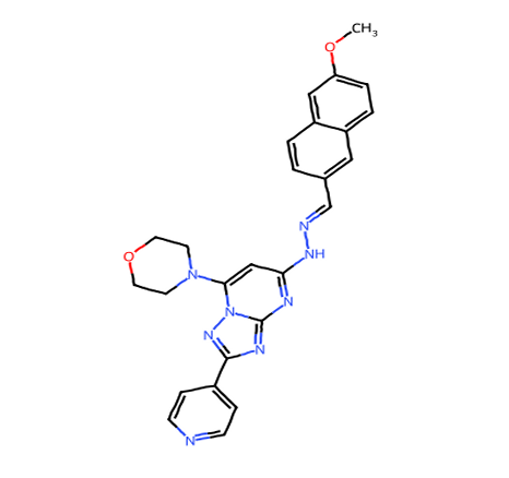 COc1ccc2cc(C=NNc3cc(N4CCOCC4)n4nc(-c5ccncc5)nc4n3)ccc2c1